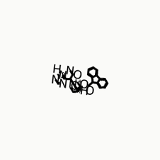 NC(=O)C(c1ncncn1)[N+]12CCC(CC1)[C@@H](OC(=O)C1c3ccccc3-c3ccccc31)C2